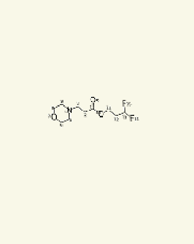 O=C(CCN1CCOCC1)OCCC(F)F